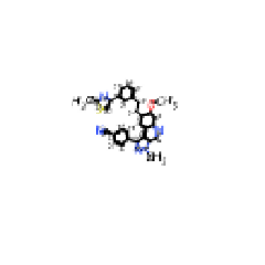 COc1cc2ncc3c(c(-c4ccc(C#N)cc4)nn3C)c2cc1CCc1cccc(-c2csc(C)n2)c1